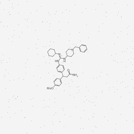 COc1ccc(C(CC(N)=O)c2ccc(N/C(=N\C3CCCCC3)NC3CCN(Cc4ccccc4)CC3)cc2)cc1